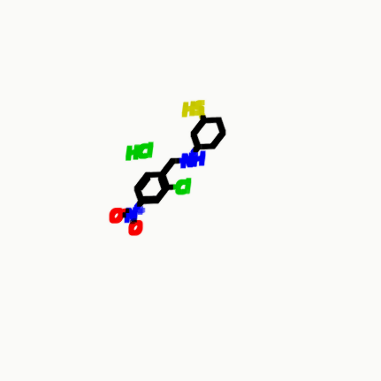 Cl.O=[N+]([O-])c1ccc(CNC2CCCC(S)C2)c(Cl)c1